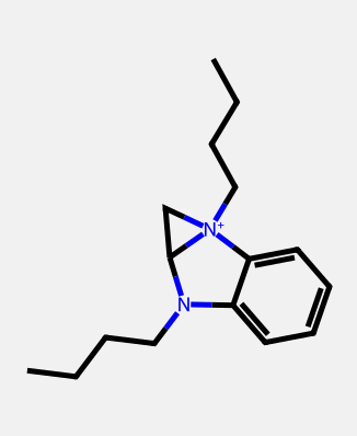 CCCCN1c2ccccc2[N+]2(CCCC)CC12